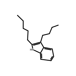 CCCCCc1[nH]c2ccccc2c1CCCC